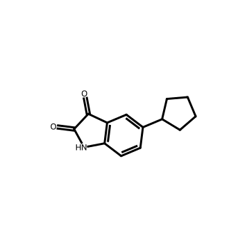 O=C1Nc2ccc(C3CCCC3)cc2C1=O